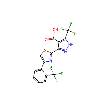 O=C(O)c1c(-c2nc(-c3ccccc3C(F)(F)F)cs2)n[nH]c1C(F)(F)F